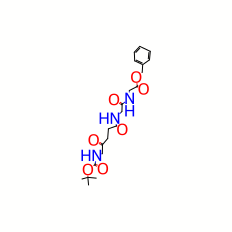 CC(C)(C)OC(=O)NCC(=O)CCC(=O)NCC(=O)NCC(=O)OCc1ccccc1